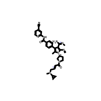 C=Nc1c(/C(N)=N\C)c(-c2ccc(C(=O)Nc3cc(C#N)ccn3)cc2)c(C)n1[C@@H]1CCN(C(=O)/C=C/CN(C)C2CC2)C1